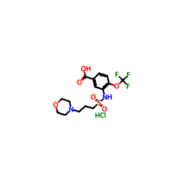 Cl.O=C(O)c1ccc(OC(F)(F)F)c(NS(=O)(=O)CCCN2CCOCC2)c1